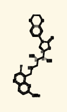 COc1ccc2ncc(F)c(CNC[C@H](O)[C@@H](O)[C@H]3CN(c4ccc5c(c4)OCCO5)C(=O)O3)c2n1